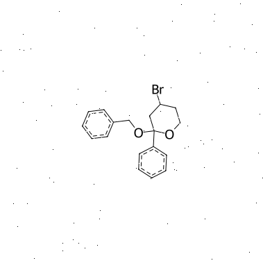 BrC1CCOC(OCc2ccccc2)(c2ccccc2)C1